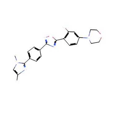 Cn1cc(C(F)(F)F)nc1-c1ccc(-c2noc(-c3ccc(N4CCOCC4)cc3Br)n2)cc1